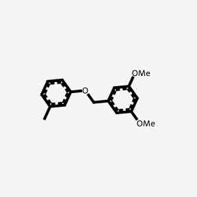 COc1cc(COc2cccc(C)c2)cc(OC)c1